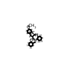 COc1ccc(CC2C(=O)N(Cc3ccccc3)c3ccccc3N=C2C)cc1